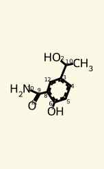 CC(O)c1ccc(O)c(C(N)=O)c1